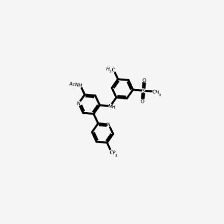 CC(=O)Nc1cc(Nc2cc(C)cc(S(C)(=O)=O)c2)c(-c2ccc(C(F)(F)F)cn2)cn1